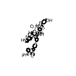 CC(C)Oc1ccccc1[C@@H]1COCCN1[C@H]1CC2(CCN(c3ccc(C(=O)NS(=O)(=O)c4cc5c(c([N+](=O)[O-])c4)N[C@@H](C4(F)CCC(C)(O)CC4)CO5)c(N4c5cc6cc[nH]c6nc5O[C@H]5COCC[C@@H]54)c3)CC2)[C@H]1C